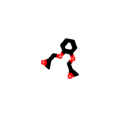 [c]1cc[c]c(OCC2CO2)c1OCC1CO1